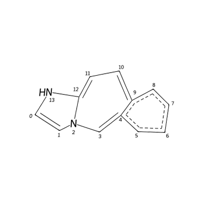 C1=CN2C=c3ccccc3=CC=C2N1